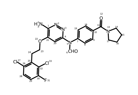 Nc1nnc(N(C=O)c2ccc(C(=O)N3CCCC3)cc2)cc1OCCc1c(Cl)ccc(F)c1Cl